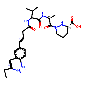 CC/C(N)=C/c1cc(/C=C/CC(=O)NC(C(=O)N[C@@H](C)C(=O)N2CCC[C@@H](C(=O)O)N2)C(C)C)ccc1N